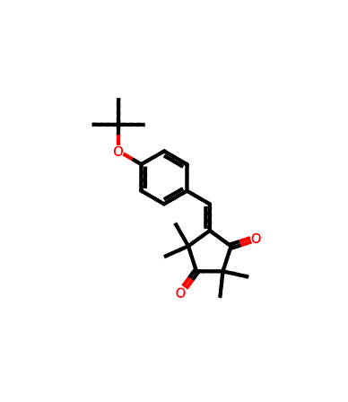 CC(C)(C)Oc1ccc(C=C2C(=O)C(C)(C)C(=O)C2(C)C)cc1